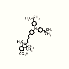 CN(C)c1ccc(N(c2ccc(/C=C/C=C/C3=[N+](C)c4ccc(C(=O)O)cc4C3(C)C)cc2)c2ccc(N(C)C)cc2)cc1